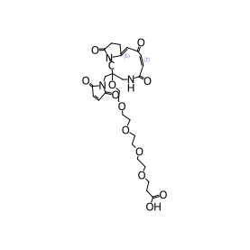 O=C1/C=C\C(=O)NCC(CN2C(=O)C=CC2=O)(OCCOCCOCCOCCOCCC(=O)O)CN2C(=O)CC/C2=C\1